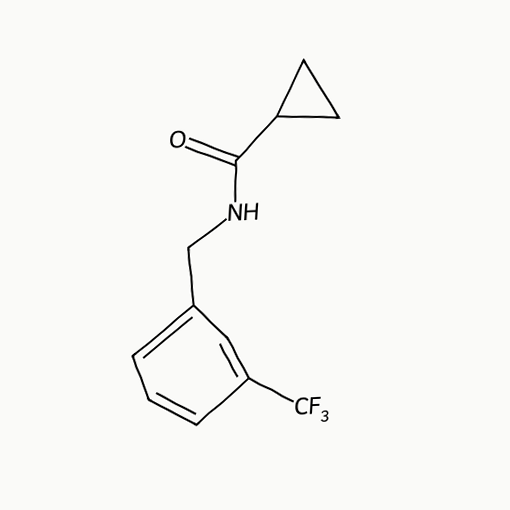 O=C(NCc1cccc(C(F)(F)F)c1)C1CC1